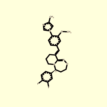 COc1cc(/C=C2\CCCN3C2=NOCC[C@H]3c2ccc(F)c(F)c2)ccc1-n1cnc(C)c1